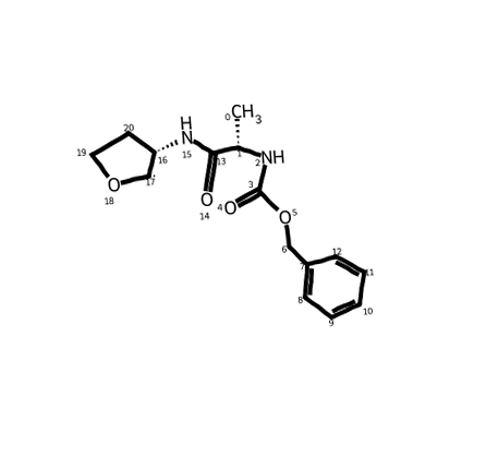 C[C@H](NC(=O)OCc1ccccc1)C(=O)N[C@@H]1[CH]OCC1